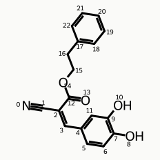 N#CC(=Cc1ccc(O)c(O)c1)C(=O)OCCc1ccccc1